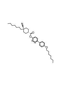 CCCCCCCOc1ccc(-c2ccc(OC(=O)[C@H]3CC[C@@](C#N)(CCCCCCC)CC3)nn2)cc1